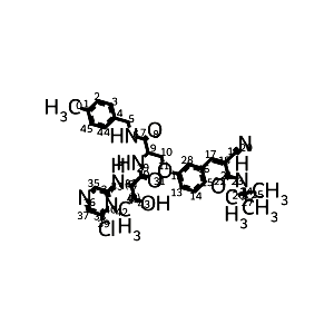 Cc1ccc(CNC(=O)C(COc2cccc(C=C(C#N)C(=O)NC(C)(C)C)c2)NC(=O)[C@@H](Nc2cncc(Cl)n2)[C@@H](C)O)cc1